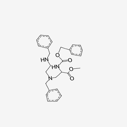 COC(=O)C(CN(CCNCc1ccccc1)Cc1ccccc1)NC(=O)OCc1ccccc1